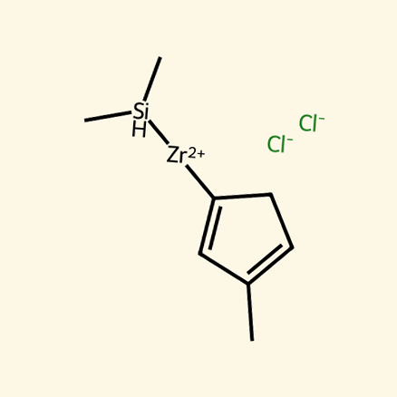 CC1=CC[C]([Zr+2][SiH](C)C)=C1.[Cl-].[Cl-]